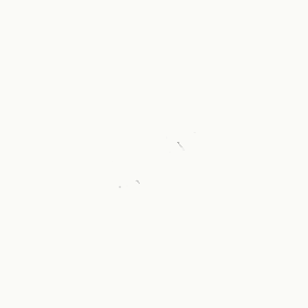 CCCCOC(CCC(=O)O)(OCCCC)C(CC)(OCC)C(=O)O